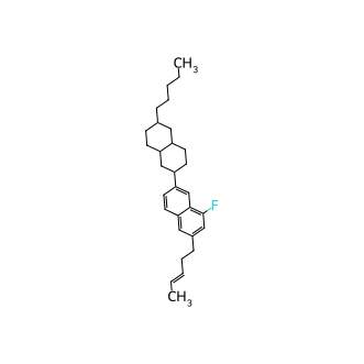 CC=CCCc1cc(F)c2cc(C3CCC4CC(CCCCC)CCC4C3)ccc2c1